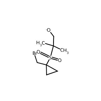 CC(C)(C[O])S(=O)(=O)C1(CBr)CC1